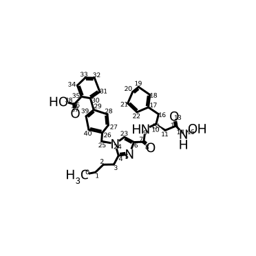 CCCCc1nc(C(=O)N[C@H](CC(=O)NO)Cc2ccccc2)cn1Cc1ccc(-c2ccccc2C(=O)O)cc1